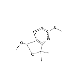 COC1OC(C)(C)c2nc(SC)ncc21